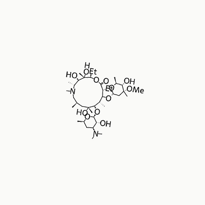 CC[C@H]1C(=O)O[C@H](CC)[C@@](C)(O)[C@H](O)[C@@H](C)N(C)C[C@H](C)C[C@@](C)(O)[C@H](O[C@@H]2O[C@H](C)C[C@H](N(C)C)[C@H]2O)[C@@H](C)C1O[C@H]1C[C@@](C)(OC)[C@@H](O)[C@H](C)O1